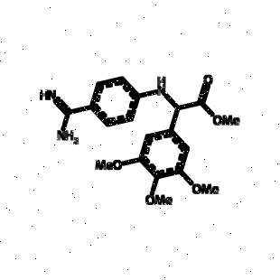 COC(=O)C(Nc1ccc(C(=N)N)cc1)c1cc(OC)c(OC)c(OC)c1